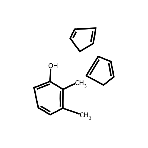 C1=CCC=C1.C1=CCC=C1.Cc1cccc(O)c1C